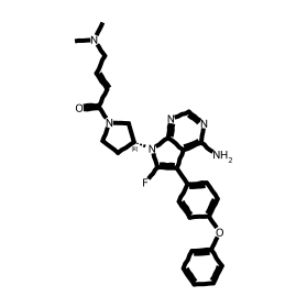 CN(C)CC=CC(=O)N1CC[C@@H](n2c(F)c(-c3ccc(Oc4ccccc4)cc3)c3c(N)ncnc32)C1